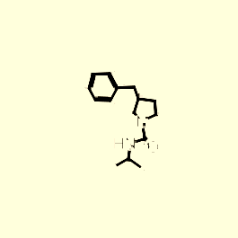 CC(C)NC(=O)N1CCC(Cc2ccccc2)C1